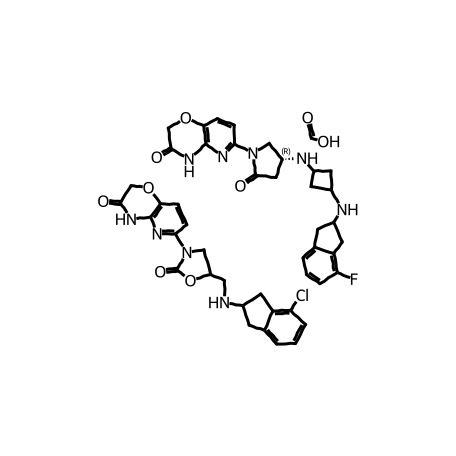 O=C1COc2ccc(N3CC(CNC4Cc5cccc(Cl)c5C4)OC3=O)nc2N1.O=C1COc2ccc(N3C[C@H](NC4CC(NC5Cc6cccc(F)c6C5)C4)CC3=O)nc2N1.O=CO